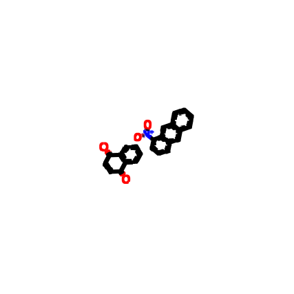 O=C1C=CC(=O)c2ccccc21.O=[N+]([O-])c1cccc2cc3ccccc3cc12